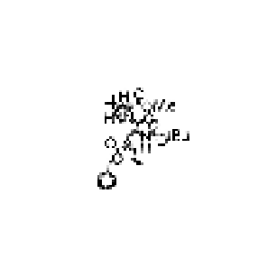 C=CCN(C[C@H](NC(=O)OC(C)(C)C)C(=O)N1C[C@H]2[C@@H]([C@H]1C(=O)OC)C2(C)C)C(=O)OCc1ccccc1